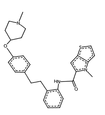 CN1CCC(Oc2ccc(CCc3ccccc3NC(=O)c3cc4sccc4n3C)cc2)CC1